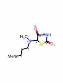 CNCCCN(C)C1SC(=O)NC1=O